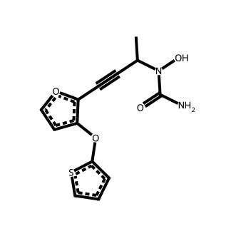 CC(C#Cc1occc1Oc1cccs1)N(O)C(N)=O